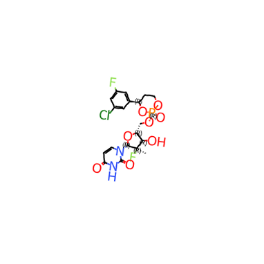 C[C@@]1(F)[C@H](O)[C@@H](CO[P@@]2(=O)OCC[C@H](c3cc(F)cc(Cl)c3)O2)O[C@H]1n1ccc(=O)[nH]c1=O